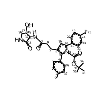 Cc1ccc(-c2c(CCC(=O)N[C@@H]3C(=O)NC[C@H]3O)cc(-c3ccc(F)cc3)n2C(=O)OC(C)(C)C)cc1